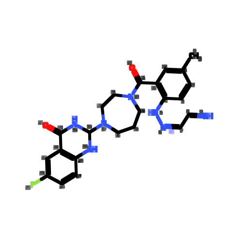 Cc1ccc(N/N=C\C=N)c(C(=O)N2CCCN(C3NC(=O)c4cc(F)ccc4N3)CC2)c1